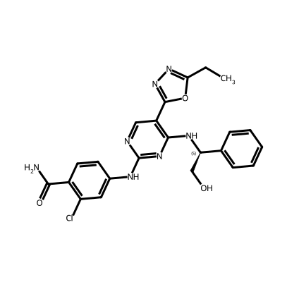 CCc1nnc(-c2cnc(Nc3ccc(C(N)=O)c(Cl)c3)nc2N[C@H](CO)c2ccccc2)o1